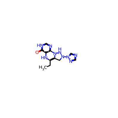 CCC1=C2CN(n3cncn3)NN2c2nc[nH]c(=O)c2N1